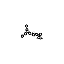 CC1=CC2(c3ccccc3-c3cc(Cl)c(C4(C)C=CC(c5ccc(N(c6ccc(-c7ccccc7)cc6)c6ccc(-c7ccccc7)cc6)cc5)=CC4)cc32)C2CC(C)CC1C2